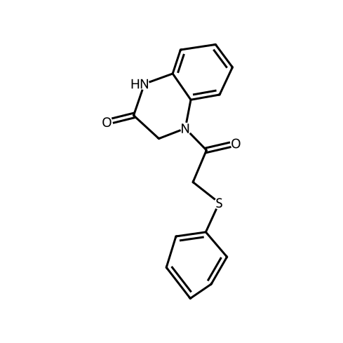 O=C1CN(C(=O)CSc2ccccc2)c2ccccc2N1